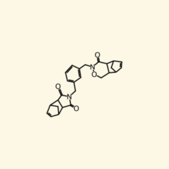 O=C1C2C3C=CC(C3)C2CON1Cc1cccc(CN2C(=O)C3C4C=CC(C4)C3C2=O)c1